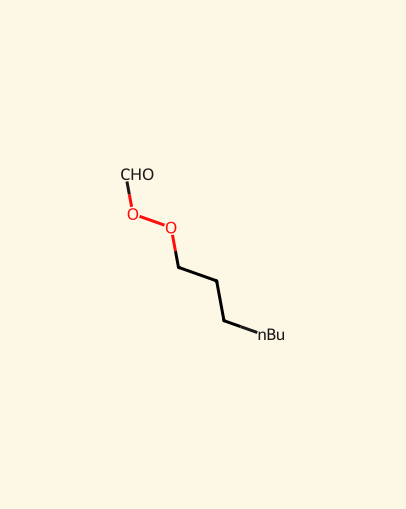 CCCCCCCOOC=O